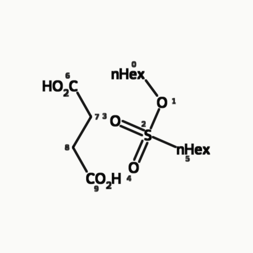 CCCCCCOS(=O)(=O)CCCCCC.O=C(O)CCC(=O)O